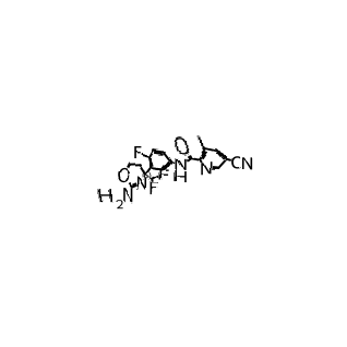 Cc1cc(C#N)cnc1C(=O)Nc1ccc(F)c([C@]2(C(F)F)CCOC(N)=N2)c1